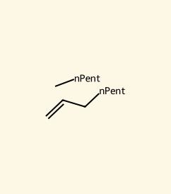 C=CCCCCCC.CCCCCC